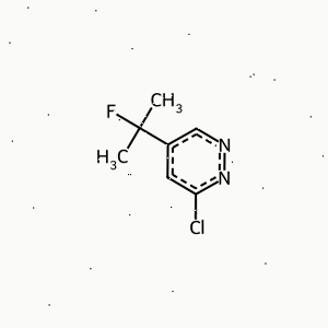 CC(C)(F)c1cnnc(Cl)c1